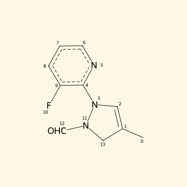 CC1=CN(c2ncccc2F)N(C=O)C1